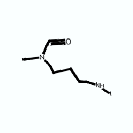 CN(C=O)CCCNI